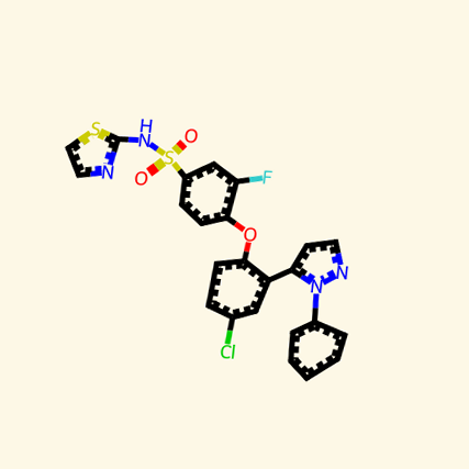 O=S(=O)(Nc1nccs1)c1ccc(Oc2ccc(Cl)cc2-c2ccnn2-c2ccccc2)c(F)c1